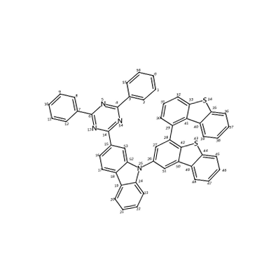 c1ccc(-c2nc(-c3ccccc3)nc(-c3ccc4c5ccccc5n(-c5cc(-c6cccc7sc8ccccc8c67)c6sc7ccccc7c6c5)c4c3)n2)cc1